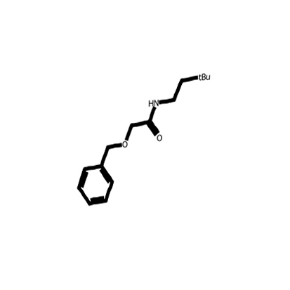 CC(C)(C)CCNC(=O)COCc1ccccc1